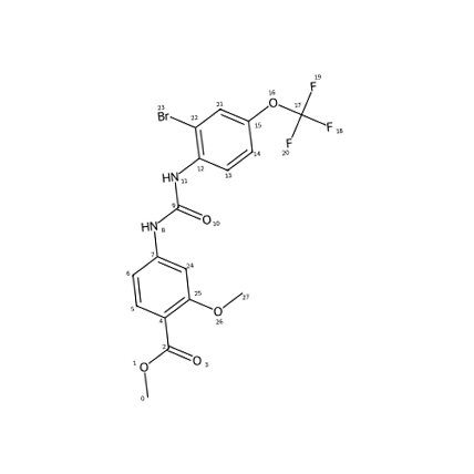 COC(=O)c1ccc(NC(=O)Nc2ccc(OC(F)(F)F)cc2Br)cc1OC